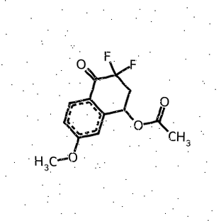 COc1ccc2c(c1)C(OC(C)=O)CC(F)(F)C2=O